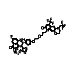 Cn1ncnc1[C@H]1c2n[nH]c(=O)c3cc(F)cc(c23)N[C@@H]1c1ccc(OCCOCCCn2c(=O)cc(C(F)(F)F)c3cc4c(cc32)OCCN4CC(F)(F)F)cc1